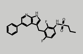 CCCS(=O)(=O)Nc1ccc(F)c(Cc2c[nH]c3ncc(-c4ccccc4)cc23)c1F